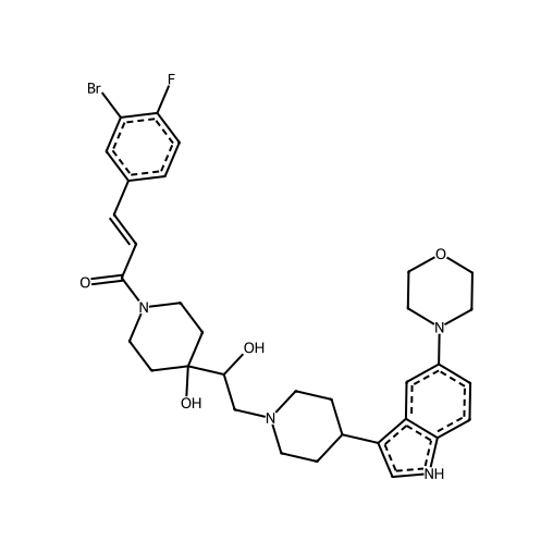 O=C(C=Cc1ccc(F)c(Br)c1)N1CCC(O)(C(O)CN2CCC(c3c[nH]c4ccc(N5CCOCC5)cc34)CC2)CC1